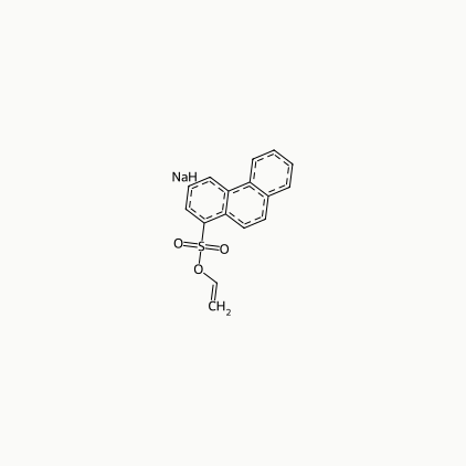 C=COS(=O)(=O)c1cccc2c1ccc1ccccc12.[NaH]